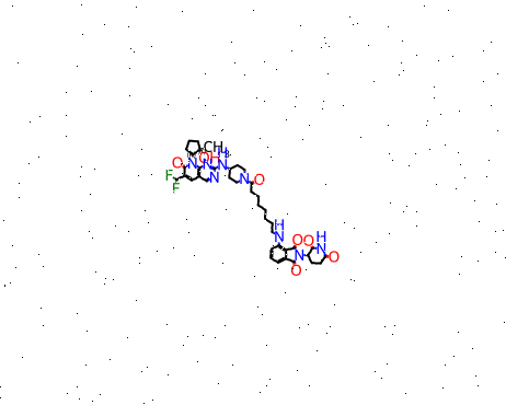 C[C@@]1(O)CCC[C@H]1n1c(=O)c(C(F)F)cc2cnc(NC3CCN(C(=O)CCCCCCCNc4cccc5c4C(=O)N(C4CCC(=O)NC4=O)C5=O)CC3)nc21